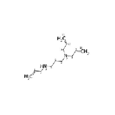 C=CCNCCCN(CC=C)CC=C